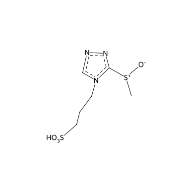 C[S+]([O-])c1nncn1CCCS(=O)(=O)O